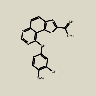 COC(=N)c1nc2ccc3ncnc(Nc4ccc(OC)c(O)c4)c3c2s1